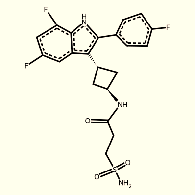 NS(=O)(=O)CCC(=O)N[C@H]1C[C@H](c2c(-c3ccc(F)cc3)[nH]c3c(F)cc(F)cc32)C1